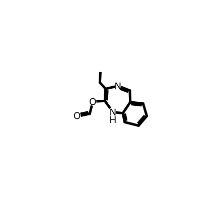 CCC1=C(OC=O)Nc2ccccc2C=N1